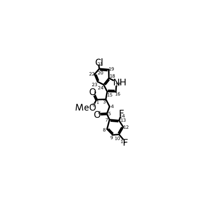 COC(=O)C(CC(=O)c1ccc(F)cc1F)c1c[nH]c2cc(Cl)ccc12